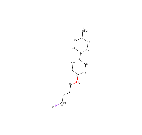 CCCC[C@H]1CC[C@H]([C@H]2CC[C@H](OCCC[SiH2]I)CC2)CC1